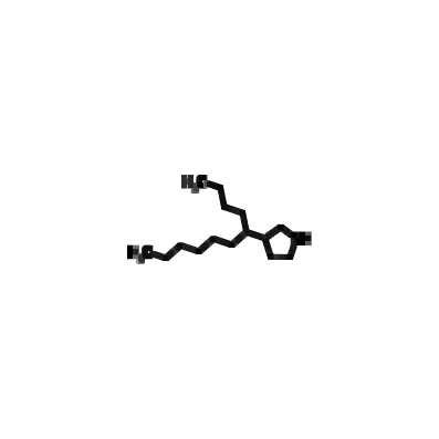 CCCCCCC(CCCC)C1CCNC1